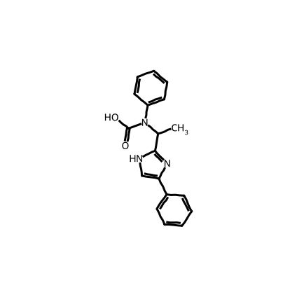 CC(c1nc(-c2ccccc2)c[nH]1)N(C(=O)O)c1ccccc1